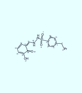 CC(C)Cc1ccc(S(=O)(=O)NNC=C2C=CC=C(O)C2=O)cc1